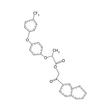 CC(Oc1ccc(Oc2ccc(C(F)(F)F)cc2)cc1)C(=O)OCC(=O)c1ccc2ccccc2c1